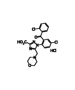 Cl.O=C(O)c1nc(CN2CCOCC2)n(-c2ccc(Cl)cc2C(=O)c2ccccc2Cl)n1